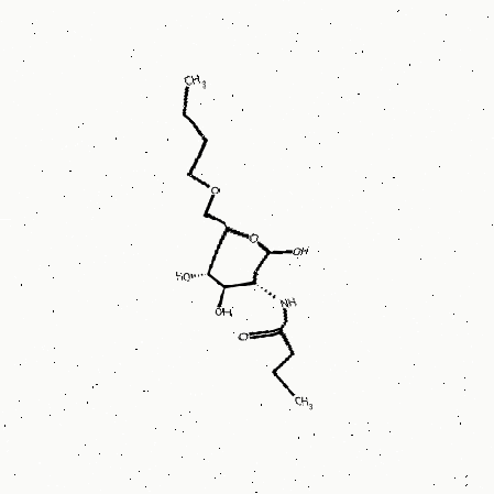 CCCCOC[C@H]1OC(O)[C@H](NC(=O)CCC)[C@@H](O)[C@@H]1O